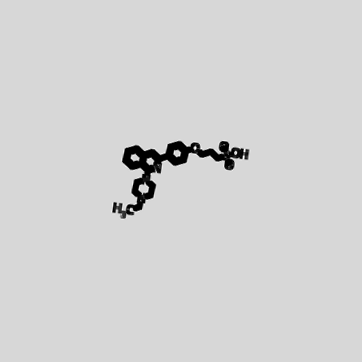 CCN1CCN(c2nc(-c3ccc(OCCCS(=O)(=O)O)cc3)cc3ccccc23)CC1